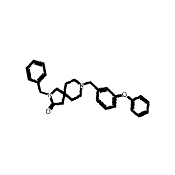 O=C1CC2(CCN(Cc3cccc(Oc4ccccc4)c3)CC2)CN1Cc1ccccc1